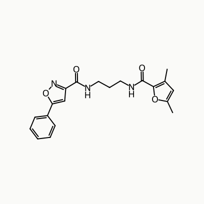 Cc1cc(C)c(C(=O)NCCCNC(=O)c2cc(-c3ccccc3)on2)o1